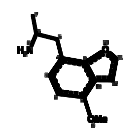 COc1ccc(CC(C)N)c2occc12